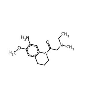 CCN(C)CC(=O)N1CCCc2cc(OC)c(N)cc21